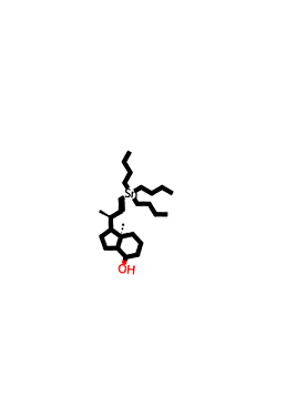 CCC[CH2][Sn]([CH]=C[C@H](C)C1CCC2C(O)CCC[C@@]21C)([CH2]CCC)[CH2]CCC